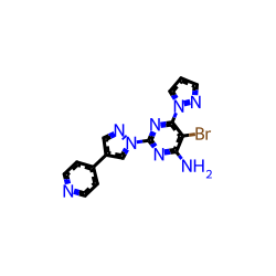 Nc1nc(-n2cc(-c3ccncc3)cn2)nc(-n2cccn2)c1Br